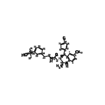 COc1ccc2c(c1)C(c1ccc(Cl)cc1)=N[C@@H](CC(=O)NCCc1cccc([Si](C)(C)O)c1)C(N)N2